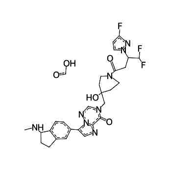 CNC1CCc2cc(-c3cnc4c(=O)n(CC5(O)CCN(C(=O)CC(C(F)F)n6ccc(F)n6)CC5)cnn34)ccc21.O=CO